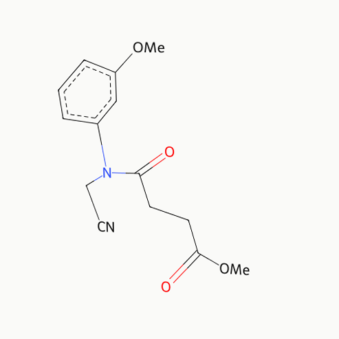 COC(=O)CCC(=O)N(CC#N)c1cccc(OC)c1